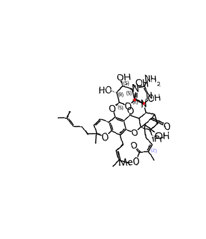 COC(=O)/C(C)=C\CC1(O)C(=O)C2CC(C(C)C)C13Oc1c(CC=C(C)C)c4c(c(O[C@@H]5O[C@H](CO)[C@@H](O)[C@H](O)[C@H]5O)c1C(=O)C3C2n1cnc(N)n1)C=CC(C)(CCC=C(C)C)O4